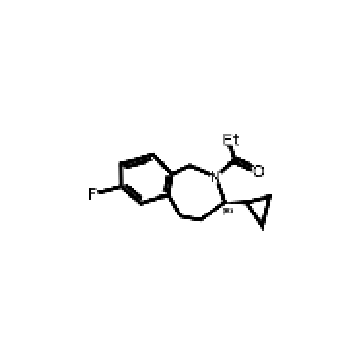 CCC(=O)N1Cc2ccc(F)cc2CC[C@@H]1C1CC1